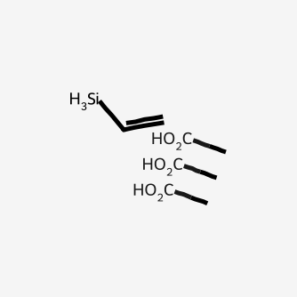 C=C[SiH3].CC(=O)O.CC(=O)O.CC(=O)O